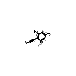 CC#Cc1c(F)cc(C)cc1F